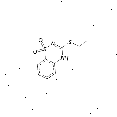 CCSC1=NS(=O)(=O)c2ccccc2N1